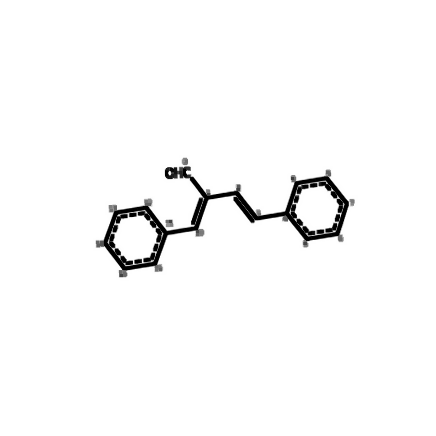 O=CC(C=Cc1ccccc1)=Cc1ccccc1